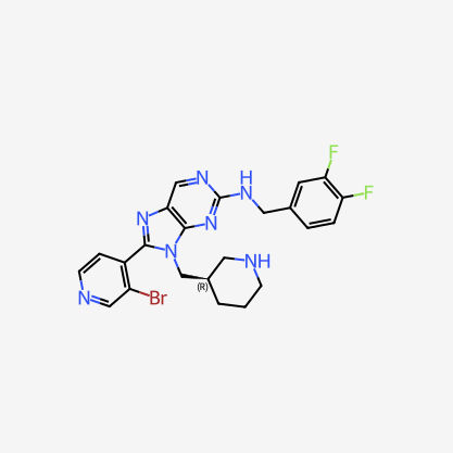 Fc1ccc(CNc2ncc3nc(-c4ccncc4Br)n(C[C@@H]4CCCNC4)c3n2)cc1F